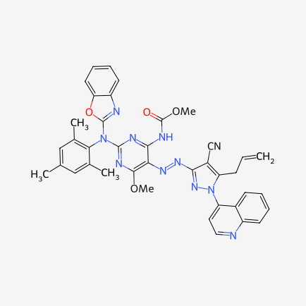 C=CCc1c(C#N)c(N=Nc2c(NC(=O)OC)nc(N(c3nc4ccccc4o3)c3c(C)cc(C)cc3C)nc2OC)nn1-c1ccnc2ccccc12